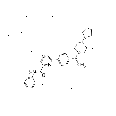 C=C(c1ccc(-c2cncc(C(=O)Nc3ccccc3)n2)cc1)N1CCC(N2CCCC2)CC1